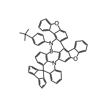 CC(C)(C)c1ccc(N2B3c4cccc5c4N(c4ccccc4C54c5ccccc5-c5ccccc54)c4cc5oc6ccccc6c5c(c43)-c3ccc4oc5ccccc5c4c32)cc1